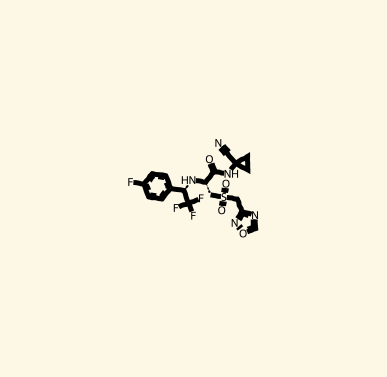 N#CC1(NC(=O)[C@H](CS(=O)(=O)Cc2ncon2)N[C@@H](c2ccc(F)cc2)C(F)(F)F)CC1